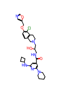 O=C(NCC(O)CN1CCc2c(ccc(OCc3cnco3)c2Cl)C1)c1cc(NC2CCC2)nc(N2CCCCC2)c1